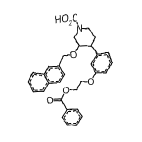 O=C(OCCOc1cccc(C2CCN(C(=O)O)CC2OCc2ccc3ccccc3c2)c1)c1ccccc1